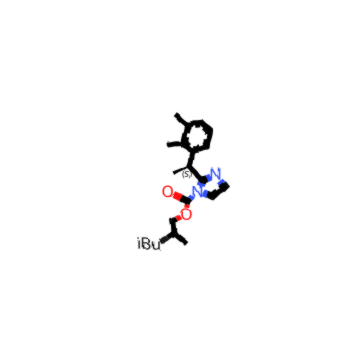 CCC(C)C(C)COC(=O)n1ccnc1[C@@H](C)c1cccc(C)c1C